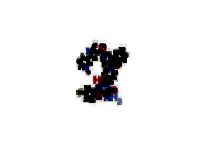 Cc1nc(C2CCCN(C)C2)sc1C(=O)N1CC[C@@H](C(=O)N2CCC(O)(Cn3cnc(Oc4ccc(F)cc4)c(N)c3=O)CC2)[C@H](c2ccccc2)C1